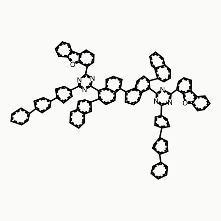 c1ccc(-c2ccc(-c3ccc(-c4nc(-c5c(-c6ccc7ccccc7c6)ccc6c(-c7cccc8c(-c9nc(-c%10ccc(-c%11ccc(-c%12ccccc%12)cc%11)cc%10)nc(-c%10cccc%11c%10oc%10ccccc%10%11)n9)c(-c9cccc%10ccccc9%10)ccc78)cccc56)nc(-c5cccc6c5oc5ccccc56)n4)cc3)cc2)cc1